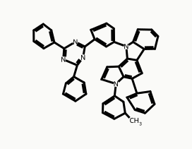 CC1C=CC=C(n2ccc3c2c(-c2ccccc2)cc2c4ccccc4n(-c4cccc(-c5nc(-c6ccccc6)nc(-c6ccccc6)n5)c4)c23)C1